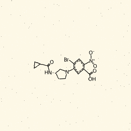 O=C(O)c1cc(N2CC[C@H](NC(=O)C3CC3)C2)c(Br)cc1[N+](=O)[O-]